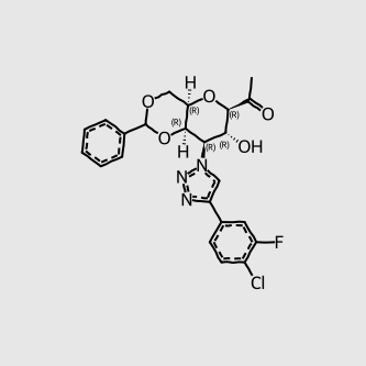 CC(=O)[C@@H]1O[C@@H]2COC(c3ccccc3)O[C@@H]2[C@H](n2cc(-c3ccc(Cl)c(F)c3)nn2)[C@H]1O